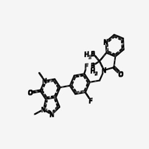 BC1(B)c2ncccc2C(=O)N1Cc1c(F)cc(-c2cn(C)c(=O)c3c2cnn3C)cc1F